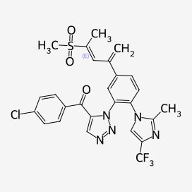 C=C(/C=C(\C)S(C)(=O)=O)c1ccc(-n2cc(C(F)(F)F)nc2C)c(-n2nncc2C(=O)c2ccc(Cl)cc2)c1